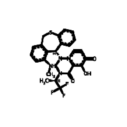 CNc1cccc2c1[C@@H](N1CN([C@H](C)C(F)(F)F)C(=O)c3c(O)c(=O)c#cn31)c1ccccc1SC2